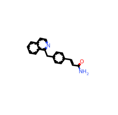 NC(=O)C=Cc1ccc(Cc2nccc3ccccc23)cc1